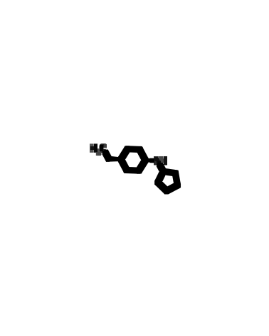 CC[C@H]1CC[C@H](NC2CCCC2)CC1